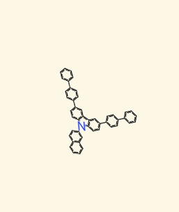 c1ccc(-c2ccc(-c3ccc4c(c3)c3cc(-c5ccc(-c6ccccc6)cc5)ccc3n4-c3ccc4ccccc4c3)cc2)cc1